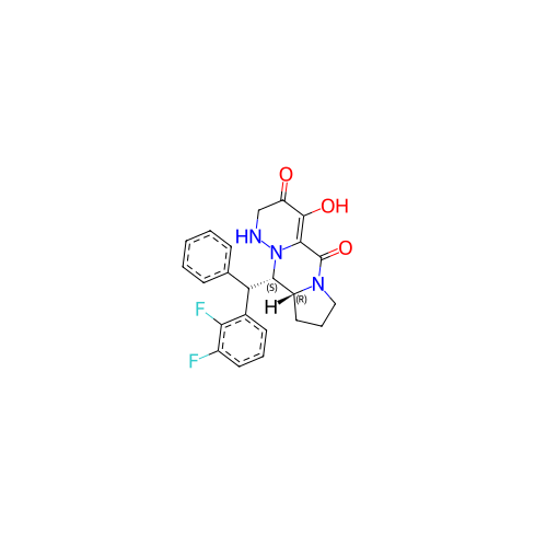 O=C1CNN2C(=C1O)C(=O)N1CCC[C@@H]1[C@@H]2C(c1ccccc1)c1cccc(F)c1F